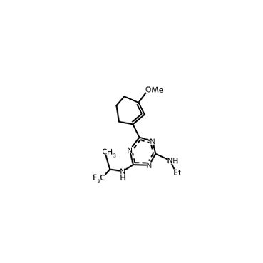 CCNc1nc(NC(C)C(F)(F)F)nc(C2=C=C(OC)CCC2)n1